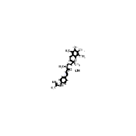 Cc1c(C)c2c(c(C)c1O)CCC(C)(CCN(C)C(=O)/C=C/c1ccc(NC(=N)N)cc1)O2.Cl